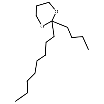 CCCCCCCCC1(CCCC)OCCCO1